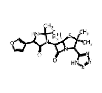 CC1(C)S[C@@H]2C(N3C(=O)C(c4ccoc4)NC3(C)C)C(=O)N2C1c1nnn[nH]1